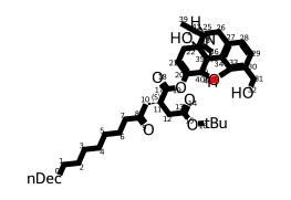 CCCCCCCCCCCCCCCCCC(=O)C[C@@H](CC(=O)OC(C)(C)C)C(=O)OC1=CC[C@@]2(O)[C@H]3Cc4ccc(CO)c5c4[C@@]2(CCN3C)[C@H]1O5